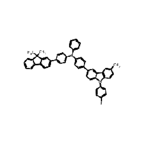 Cc1ccc2c(c1)c1cc(-c3ccc(N(c4ccccc4)c4ccc(-c5ccc6c(c5)C(C)(C)c5ccccc5-6)cc4)cc3)ccc1n2-c1ccc(F)cc1